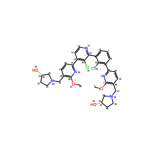 COc1nc(-c2cccc(-c3nccc(-c4ccc(CN5CC[C@H](O)C5)c(OC)n4)c3Cl)c2Cl)ccc1CN1CC[C@H](O)C1